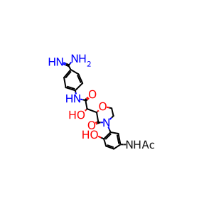 CC(=O)Nc1ccc(O)c(N2CCO[C@H]([C@@H](O)C(=O)Nc3ccc(C(=N)N)cc3)C2=O)c1